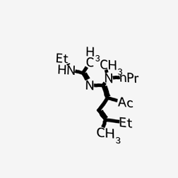 CCCN(C)C(/N=C(\C)NCC)=C(/C=C(/C)CC)C(C)=O